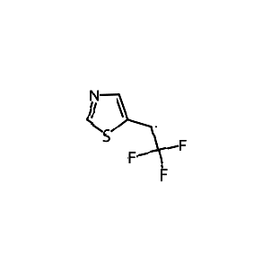 FC(F)(F)[CH]c1cncs1